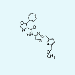 COCc1ccc(Cn2ncc(NC(=O)C3N=COC3c3ccccc3)n2)s1